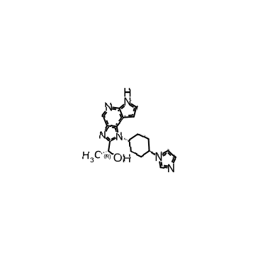 C[C@@H](O)c1nc2cnc3[nH]ccc3c2n1[C@H]1CC[C@H](n2ccnc2)CC1